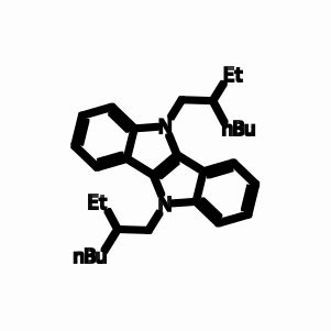 CCCCC(CC)Cn1c2ccccc2c2c1c1ccccc1n2CC(CC)CCCC